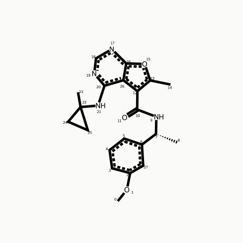 COc1cccc([C@@H](C)NC(=O)c2c(C)oc3ncnc(NC4(C)CC4)c23)c1